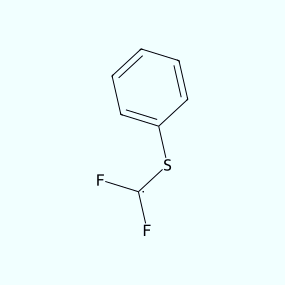 F[C](F)Sc1ccccc1